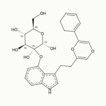 OC[C@H]1O[C@H](O)[C@@](O)(Oc2cccc3[nH]cc(CCC4=COC=C(C5=CC=CCC5)O4)c23)[C@@H](O)[C@@H]1O